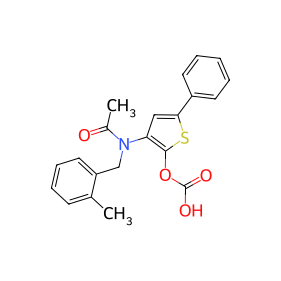 CC(=O)N(Cc1ccccc1C)c1cc(-c2ccccc2)sc1OC(=O)O